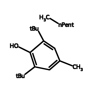 CCCCCC.Cc1cc(C(C)(C)C)c(O)c(C(C)(C)C)c1